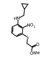 COC(=O)CSc1cccc(NCC2CC2)c1[N+](=O)[O-]